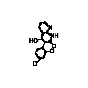 O=c1[nH]c2ncccc2c(O)c1-c1ccc(Cl)cc1Cl